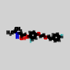 CC(C)NCC(O)COc1ccc(OCCOCCc2ccc(F)cc2)cc1F